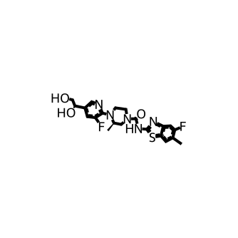 Cc1cc2sc(NC(=O)N3CCN(c4ncc([C@H](O)CO)cc4F)[C@H](C)C3)nc2cc1F